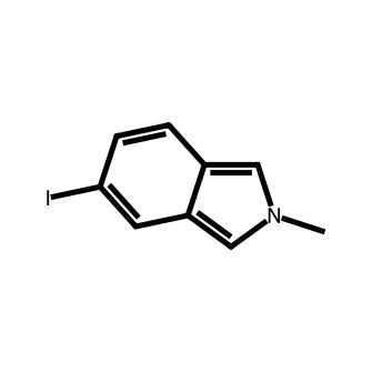 Cn1cc2ccc(I)cc2c1